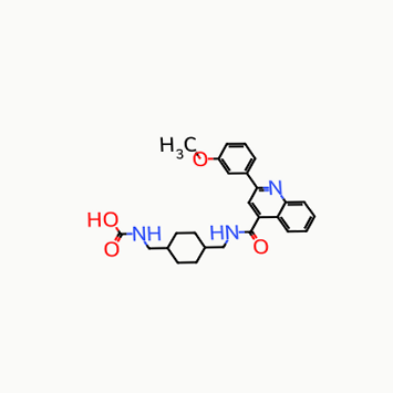 COc1cccc(-c2cc(C(=O)NCC3CCC(CNC(=O)O)CC3)c3ccccc3n2)c1